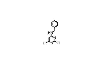 Clc1cc(NCc2ccccc2)nc(Cl)n1